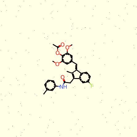 COc1cc(C=C2C(C)=C(CC(=O)Nc3cccc(C)c3)c3cc(F)ccc32)cc(OC)c1OC(C)=O